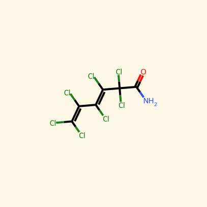 NC(=O)C(Cl)(Cl)C(Cl)=C(Cl)C(Cl)=C(Cl)Cl